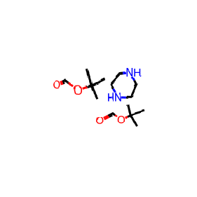 C1CNCCN1.CC(C)(C)OC=O.CC(C)(C)OC=O